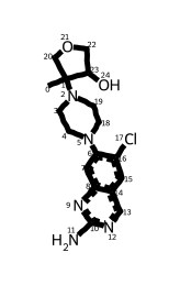 CC1(N2CCN(c3cc4nc(N)ncc4cc3Cl)CC2)COCC1O